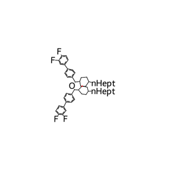 CCCCCCCC1CCC(C(OC(c2ccc(-c3ccc(F)c(F)c3)cc2)C2CCC(CCCCCCC)CC2)c2ccc(-c3ccc(F)c(F)c3)cc2)CC1